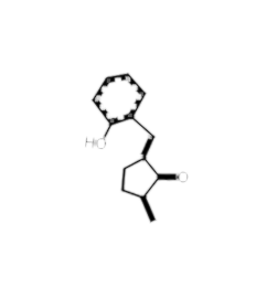 C=C1CCC(=Cc2ccccc2O)C1=O